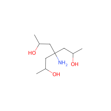 CC(O)CC(N)(CC(C)O)CC(C)O